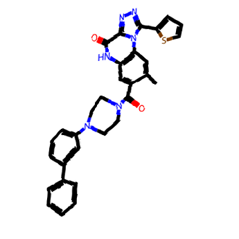 Cc1cc2c(cc1C(=O)N1CCN(c3cccc(-c4ccccc4)c3)CC1)[nH]c(=O)c1nnc(-c3cccs3)n12